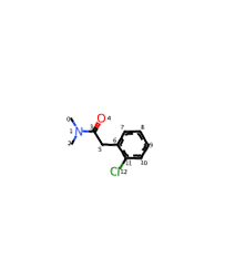 CN(C)C(=O)Cc1ccccc1Cl